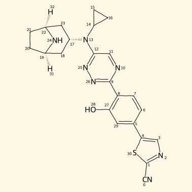 N#Cc1ncc(-c2ccc(-c3ncc(N(C4CC4)[C@@H]4C[C@H]5CC[C@@H](C4)N5)nn3)c(O)c2)s1